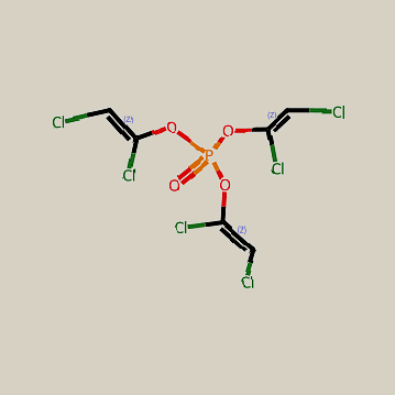 O=P(O/C(Cl)=C/Cl)(O/C(Cl)=C/Cl)O/C(Cl)=C/Cl